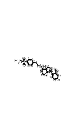 NS(=O)(=O)c1ccc(CCNc2ncnc3c2CNN3c2ccccc2Br)cc1